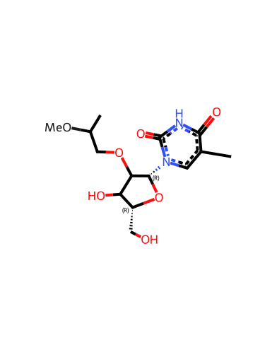 COC(C)COC1C(O)[C@@H](CO)O[C@H]1n1cc(C)c(=O)[nH]c1=O